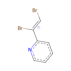 Br/C=C(\Br)c1ccccn1